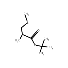 CSCC(C)C(=O)OC(C)(C)C